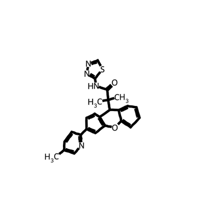 Cc1ccc(-c2ccc3c(c2)Oc2ccccc2C3C(C)(C)C(=O)Nc2nncs2)nc1